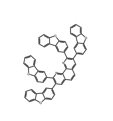 c1ccc2c(c1)oc1ccc(-c3cc4ccc5cc(-c6ccc7oc8ccccc8c7c6)c(-c6ccc7oc8ccccc8c7c6)nc5c4nc3-c3ccc4oc5ccccc5c4c3)cc12